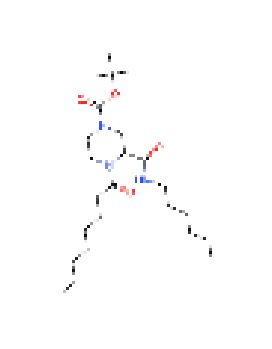 CCCCCCCC(=O)N1CCN(C(=O)OC(C)(C)C)CC1C(=O)NCCCCCC